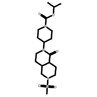 CC(C)OC(=O)N1CCC(N2CCC3CN(S(C)(=O)=O)CCC3C2=O)CC1